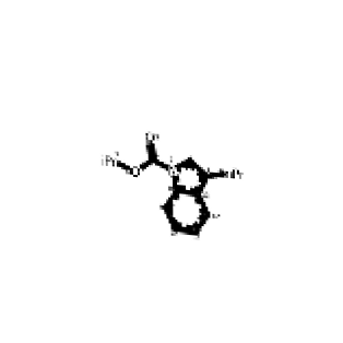 CCCc1cn(C(=O)OC(C)C)c2ccccc12